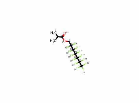 CC(C)C(=O)OCC(F)(F)C(F)(F)C(F)(F)C(F)(F)C(F)(F)C(F)(F)F